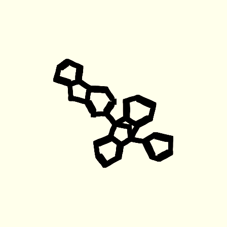 c1ccc(C23CC(c4ncc5c(n4)oc4ccccc45)(c4ccccc42)c2ccccc23)cc1